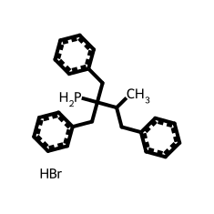 Br.CC(Cc1ccccc1)C(P)(Cc1ccccc1)Cc1ccccc1